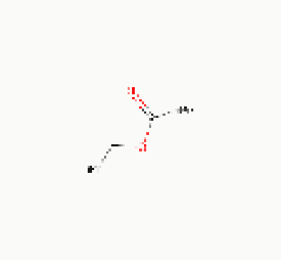 CC[CH]C(=O)OCC(C)C